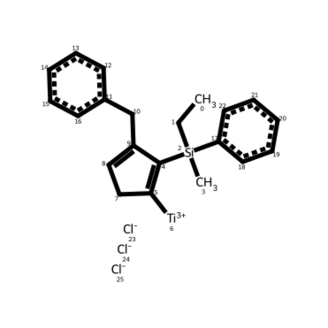 CC[Si](C)(C1=[C]([Ti+3])CC=C1Cc1ccccc1)c1ccccc1.[Cl-].[Cl-].[Cl-]